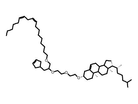 CCCCC/C=C\C/C=C\CCCCCCCCOCC(CC1CC=CC1)OCCOCCO[C@H]1CC[C@@]2(C)C(=CCC3C2CC[C@@]2(C)C3CC[C@@H]2[C@H](C)CCCC(C)C)C1